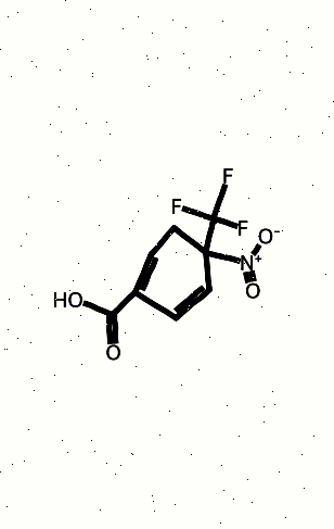 O=C(O)C1=CCC([N+](=O)[O-])(C(F)(F)F)C=C1